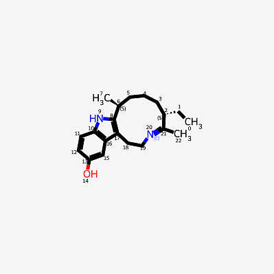 CC[C@H]1CCC[C@H](C)c2[nH]c3ccc(O)cc3c2CC/N=C/1C